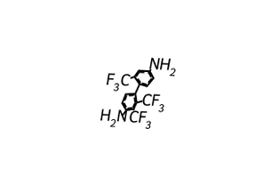 Nc1ccc(-c2ccc(N)c(C(F)(F)F)c2C(F)(F)F)c(C(F)(F)F)c1